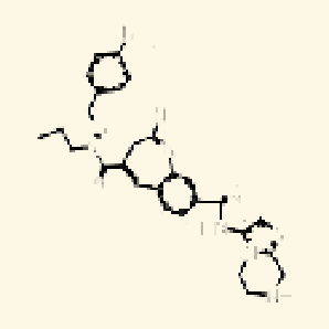 CCCN(OCc1ccc(N)cc1)C(=O)C1=Cc2ccc(C(=O)Nc3cnc4n3CCNC4)cc2N=C(N)C1